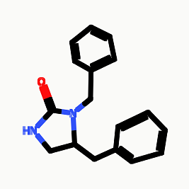 O=C1NCC(Cc2ccccc2)N1Cc1ccccc1